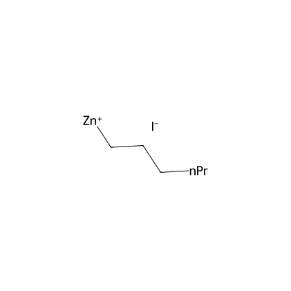 CCCCC[CH2][Zn+].[I-]